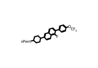 CCCCCC1CCC(c2ccc3c(F)c(-c4ccc(OC(F)(F)F)cc4)ccc3c2)CC1